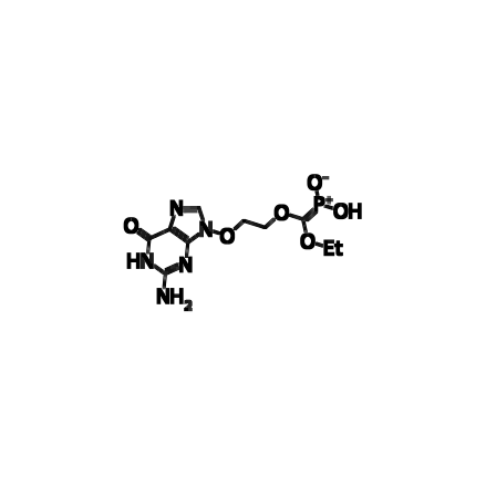 CCO/C(OCCOn1cnc2c(=O)[nH]c(N)nc21)=[P+](/[O-])O